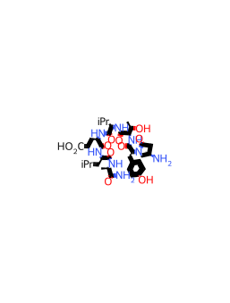 CC(C)C[C@@H](NC(=O)[C@@H](CCC(=O)O)NC(=O)[C@H](NC(=O)[C@H](NC(=O)[C@@H](Cc1ccc(O)cc1)N1C[C@H](N)CC1=O)[C@@H](C)O)C(C)C)C(=O)N[C@H](C)C(N)=O